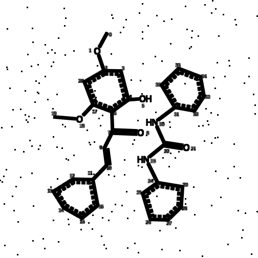 COc1cc(O)c(C(=O)C=Cc2ccccc2)c(OC)c1.O=C(Nc1ccccc1)Nc1ccccc1